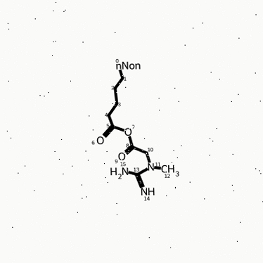 CCCCCCCCCCCCCC(=O)OC(=O)CN(C)C(=N)N